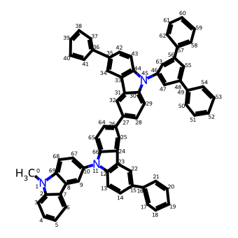 Cn1c2ccccc2c2cc(-n3c4ccc(-c5ccccc5)cc4c4cc(-c5ccc6c(c5)c5cc(-c7ccccc7)ccc5n6-c5cc(-c6ccccc6)cc(-c6ccccc6)c5)ccc43)ccc21